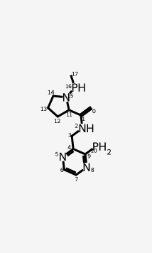 C=C(NCc1nccnc1P)C1CCCN1PC